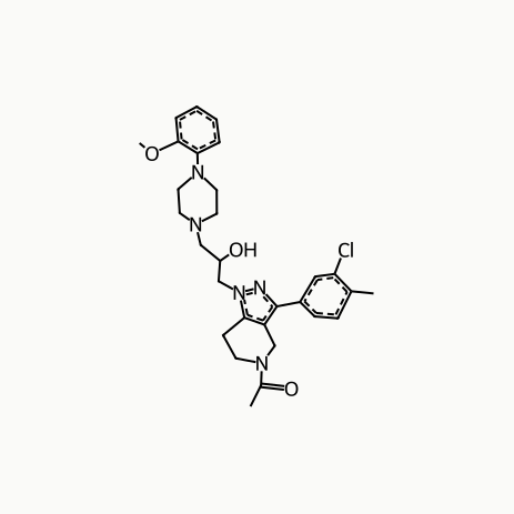 COc1ccccc1N1CCN(CC(O)Cn2nc(-c3ccc(C)c(Cl)c3)c3c2CCN(C(C)=O)C3)CC1